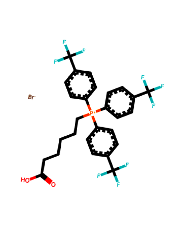 O=C(O)CCCCC[P+](c1ccc(C(F)(F)F)cc1)(c1ccc(C(F)(F)F)cc1)c1ccc(C(F)(F)F)cc1.[Br-]